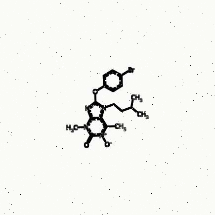 Cc1c2c(nc(Oc3ccc(Br)cc3)n2CCC(C)C)n(C)c(=O)[n+]1[O-]